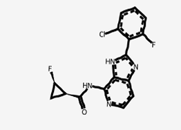 O=C(Nc1nccc2nc(-c3c(F)cccc3Cl)[nH]c12)[C@H]1C[C@H]1F